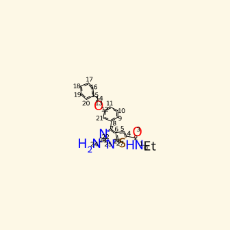 CCNC(=O)c1cc2c(-c3cccc(OCc4ccccc4)c3)nc(N)nc2s1